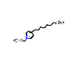 CCCCCCCCCCCCCCCCCc1cc[n+](CCCCCCCCCCC)cc1